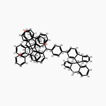 c1ccc(-n2c3cc4ccccc4cc3c3c(C(c4ccc(-c5ccc6c(c5)C5(c7ccccc7Sc7ccccc75)c5ccccc5-6)cc4)c4cccc(-c5ccccc5C5(c6ccccc6)c6ccccc6-c6ccccc65)c4)cccc32)cc1